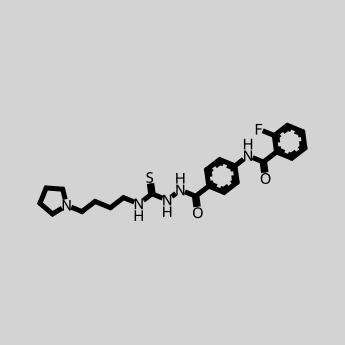 O=C(NNC(=S)NCCCCN1CCCC1)c1ccc(NC(=O)c2ccccc2F)cc1